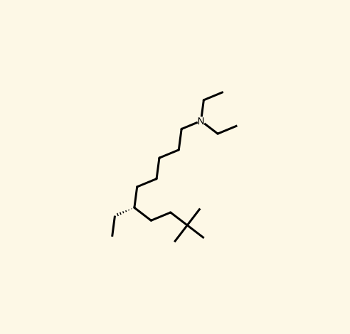 CC[C@H](CCCCCN(CC)CC)CCC(C)(C)C